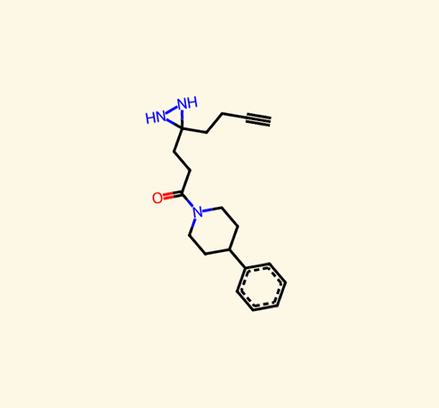 C#CCCC1(CCC(=O)N2CCC(c3ccccc3)CC2)NN1